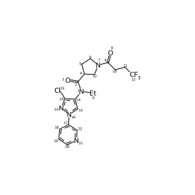 CCN(C(=O)C1CCN(C(=O)CCC(F)(F)F)C1)c1cn(-c2cccnc2)nc1Cl